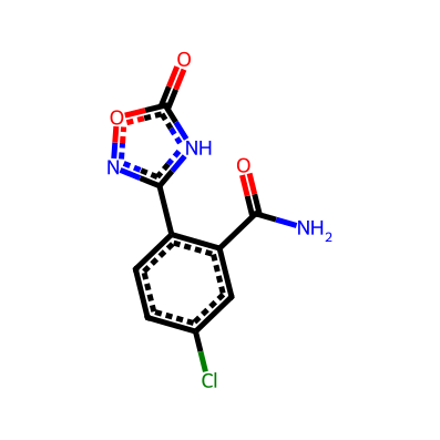 NC(=O)c1cc(Cl)ccc1-c1noc(=O)[nH]1